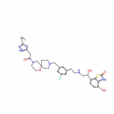 Cc1n[nH]c(CC(=O)N2CCOC3(CCN(Cc4cc(F)cc(CCNCC(O)c5ccc(O)c6[nH]c(=O)sc56)c4)CC3)C2)n1